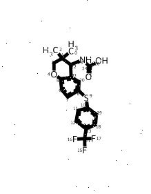 CC1(C)COc2ccc(Sc3ccc(C(F)(F)F)cc3)cc2C1NC(=O)O